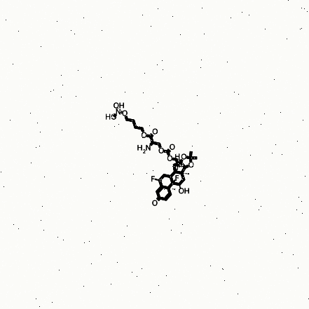 CC1(C)O[C@@H]2CC3C4C[C@H](F)C5=CC(=O)C=C[C@]5(C)[C@@]4(F)[C@@H](O)C[C@]3(C)[C@]2(C(=O)COC(=O)OCC(N)C(=O)OCCCCON(O)O)O1